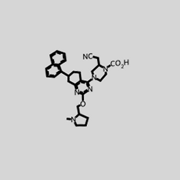 CN1CCCC1COc1nc2c(c(N3CCN(C(=O)O)C(CC#N)C3)n1)CCC(c1cccc3ccccc13)C2